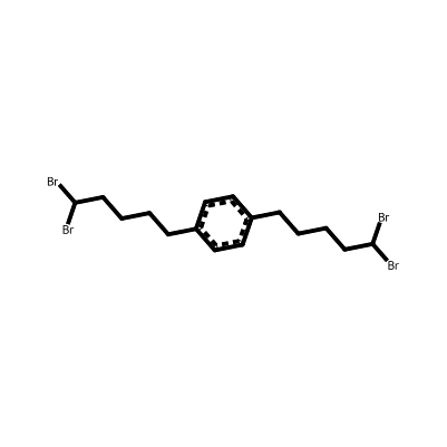 BrC(Br)CCCCc1ccc(CCCCC(Br)Br)cc1